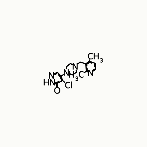 Cc1ccnc(C)c1CN1CCN(c2cn[nH]c(=O)c2Cl)CC1